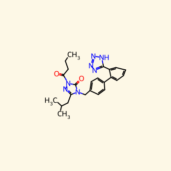 CCCC(=O)n1nc(CC(C)C)n(Cc2ccc(-c3ccccc3-c3nnn[nH]3)cc2)c1=O